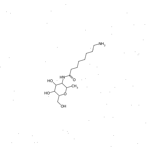 CC1OC(CO)C(O)C(O)C1NC(=O)CCCCCCCN